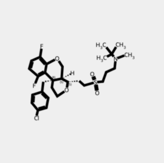 CN(CCCS(=O)(=O)CC[C@@H]1OCC[C@@]2(Cc3ccc(Cl)cc3)c3c(F)ccc(F)c3OC[C@@H]12)C(C)(C)C